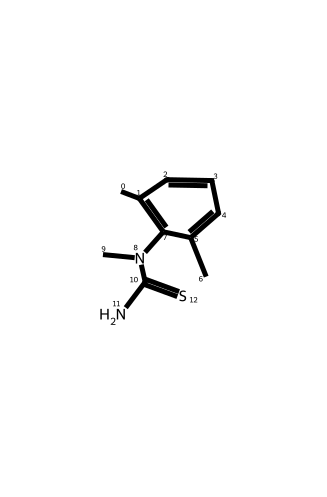 Cc1cccc(C)c1N(C)C(N)=S